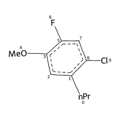 CCCc1cc(OC)c(F)cc1Cl